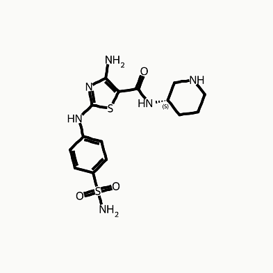 Nc1nc(Nc2ccc(S(N)(=O)=O)cc2)sc1C(=O)N[C@H]1CCCNC1